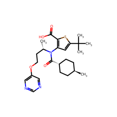 C[C@@H](CCOc1cncnc1)N(c1cc(C(C)(C)C)sc1C(=O)O)C(=O)[C@H]1CC[C@H](C)CC1